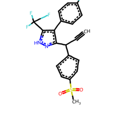 C#CC(c1ccc(S(C)(=O)=O)cc1)c1n[nH]c(C(F)(F)F)c1-c1ccc(F)cc1